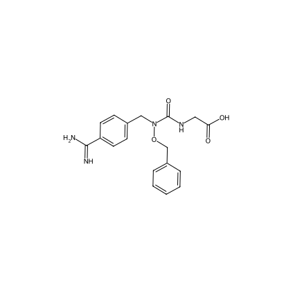 N=C(N)c1ccc(CN(OCc2ccccc2)C(=O)NCC(=O)O)cc1